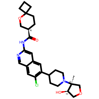 C[C@]1(N2CCC(c3cc4cc(NC(=O)[C@@H]5CCC6(CCC6)OC5)ncc4cc3Cl)CC2)COC[C@H]1O